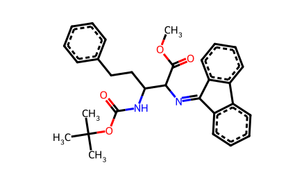 COC(=O)C(N=C1c2ccccc2-c2ccccc21)C(CCc1ccccc1)NC(=O)OC(C)(C)C